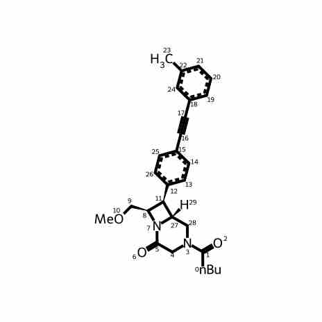 CCCCC(=O)N1CC(=O)N2[C@@H](COC)[C@@H](c3ccc(C#Cc4cccc(C)c4)cc3)[C@@H]2C1